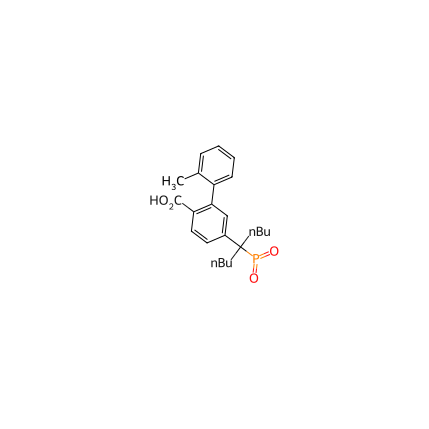 CCCCC(CCCC)(c1ccc(C(=O)O)c(-c2ccccc2C)c1)P(=O)=O